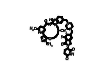 Cc1cc2cc(n1)-c1cnn(C)c1OCCC[C@@H](C)CN1/C(=N/C2=O)Nc2ccc(CN3CCN(Cc4cc(F)c5c(c4)CN(C4CCC(=O)NC4=O)C5=O)CC3)cc21